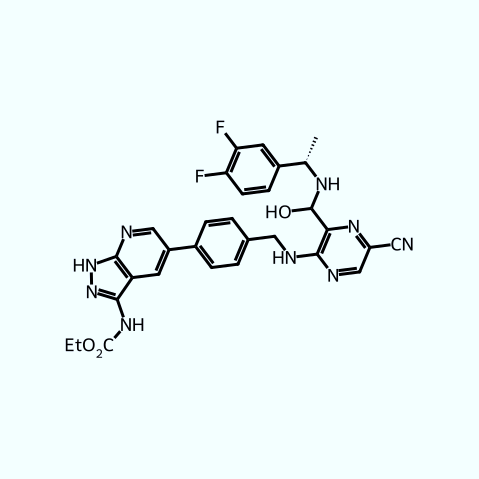 CCOC(=O)Nc1n[nH]c2ncc(-c3ccc(CNc4ncc(C#N)nc4C(O)N[C@@H](C)c4ccc(F)c(F)c4)cc3)cc12